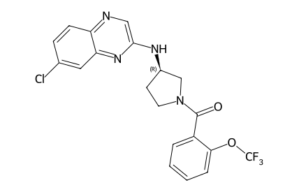 O=C(c1ccccc1OC(F)(F)F)N1CC[C@@H](Nc2cnc3ccc(Cl)cc3n2)C1